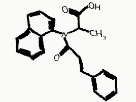 CC(C(=O)O)N(C(=O)CCc1ccccc1)c1cccc2ccccc12